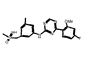 COc1cc(F)ccc1-c1ncnc(Nc2cc(C)cc(CS(C)(=N)=O)c2)n1